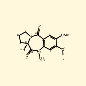 COc1cc2c(cc1OI)N(C)C(=O)[C@@H]1CCCN1C2=O